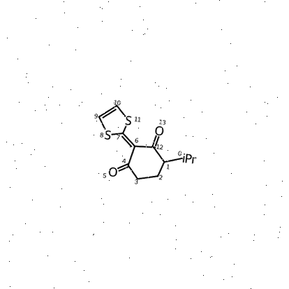 CC(C)C1CCC(=O)C(=C2SC=CS2)C1=O